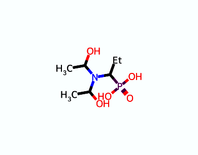 CCC(N(C(C)O)C(C)O)P(=O)(O)O